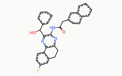 O=C(Cc1ccc2ccccc2c1)Nc1nc2c(nc1C(O)c1ccccc1)-c1ccc(F)cc1CC2